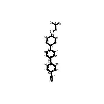 CC(C)COC1CCC(c2ccc(-c3ccc(C#N)cc3)cc2)CC1